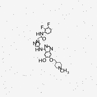 CN1CCC(COc2cc3ncnc(Nc4cnn(CC(=O)Nc5cccc(F)c5F)c4)c3cc2O)CC1